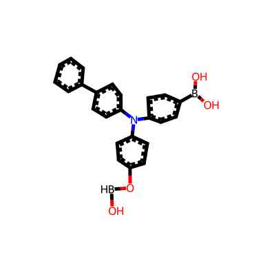 OBOc1ccc(N(c2ccc(B(O)O)cc2)c2ccc(-c3ccccc3)cc2)cc1